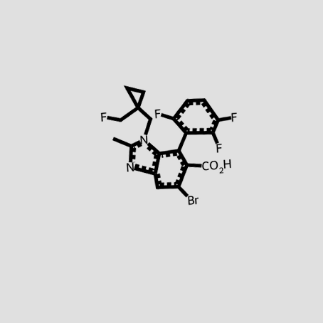 Cc1nc2cc(Br)c(C(=O)O)c(-c3c(F)ccc(F)c3F)c2n1CC1(CF)CC1